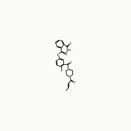 C/C=C/C(=O)N1CCN(C(=O)c2cc(Oc3n[nH]c(=O)c4ccccc34)ccc2F)CC1